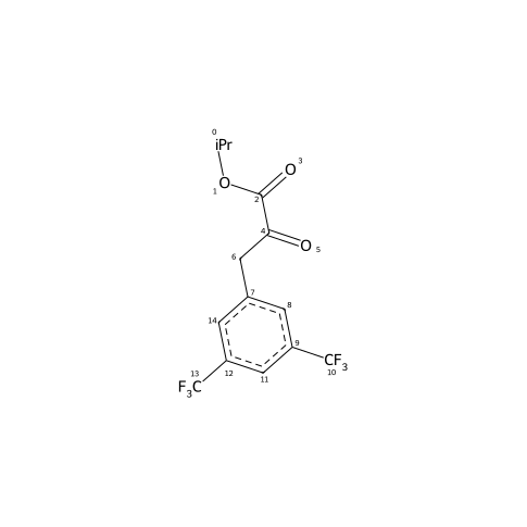 CC(C)OC(=O)C(=O)Cc1cc(C(F)(F)F)cc(C(F)(F)F)c1